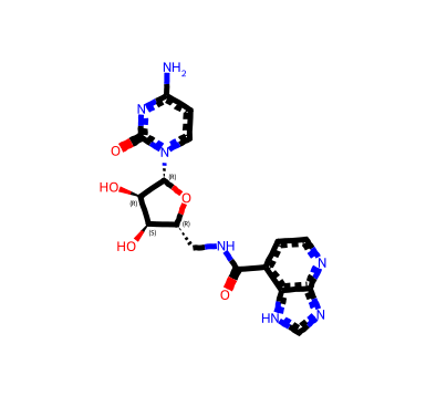 Nc1ccn([C@@H]2O[C@H](CNC(=O)c3ccnc4nc[nH]c34)[C@@H](O)[C@H]2O)c(=O)n1